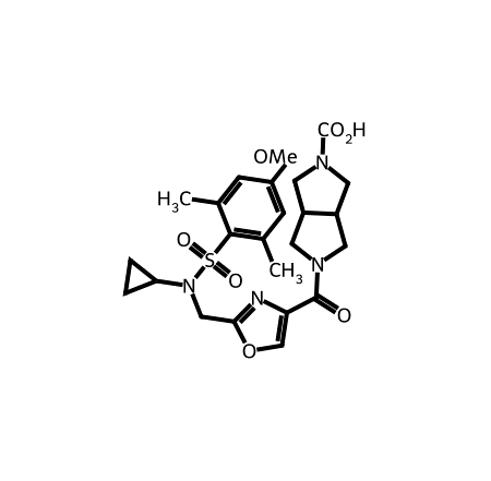 COc1cc(C)c(S(=O)(=O)N(Cc2nc(C(=O)N3CC4CN(C(=O)O)CC4C3)co2)C2CC2)c(C)c1